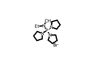 CCN(C)[P+](N1CCCC1)(N1CCCC1)N1CCCC1.[Br-]